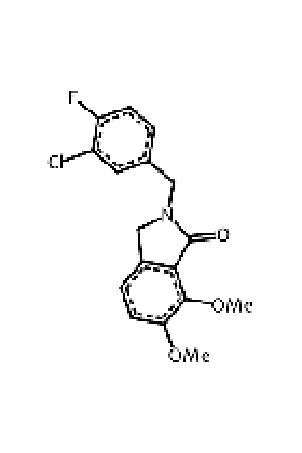 COc1ccc2c(c1OC)C(=O)N(Cc1ccc(F)c(Cl)c1)C2